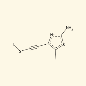 Cc1sc(N)nc1C#CSI